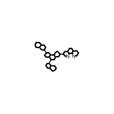 c1ccc2cc(-c3ccc4c(-c5cccc6ccccc56)cc5cc(-c6cnc7c(ccc8cccnc87)c6)ccc5c4c3)ccc2c1